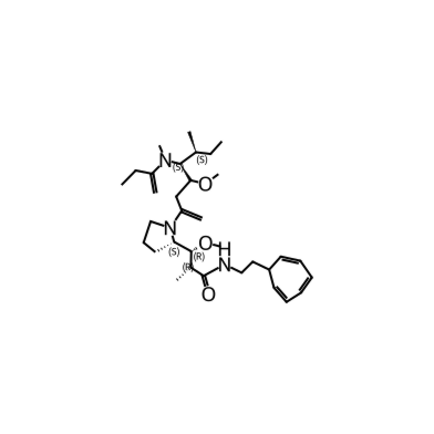 C=C(CC)N(C)[C@H](C(CC(=C)N1CCC[C@H]1[C@H](OC)[C@@H](C)C(=O)NCCC1C=CC=CC=C1)OC)[C@@H](C)CC